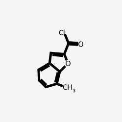 Cc1cccc2cc(C(=O)Cl)oc12